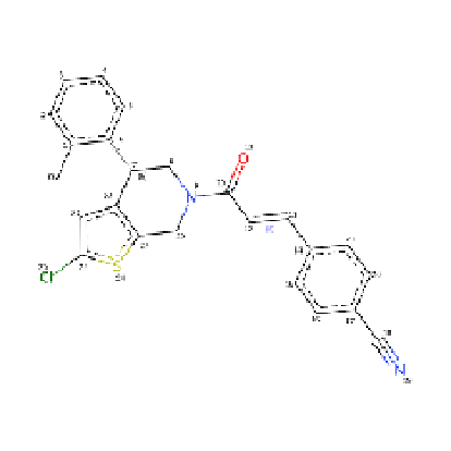 Cc1ccccc1[C@@H]1CN(C(=O)/C=C/c2ccc(C#N)cc2)Cc2sc(Cl)cc21